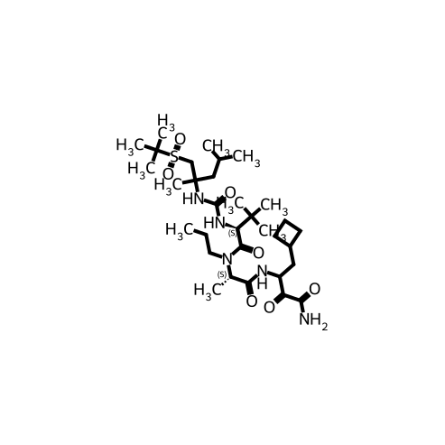 CCCN(C(=O)[C@@H](NC(=O)NC(C)(CC(C)C)CS(=O)(=O)C(C)(C)C)C(C)(C)C)[C@@H](C)C(=O)NC(CC1CCC1)C(=O)C(N)=O